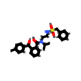 Cc1ccc(C(=O)c2ccccc2C(=O)N(CCNS(=O)(=O)Cc2ccccc2)C(C)C)cc1